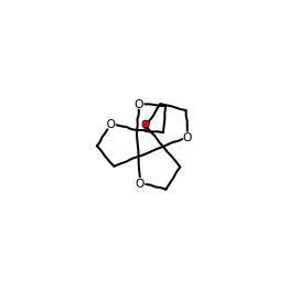 C1COC2(C1)CCOC21CCOC12CCOC21CCO1